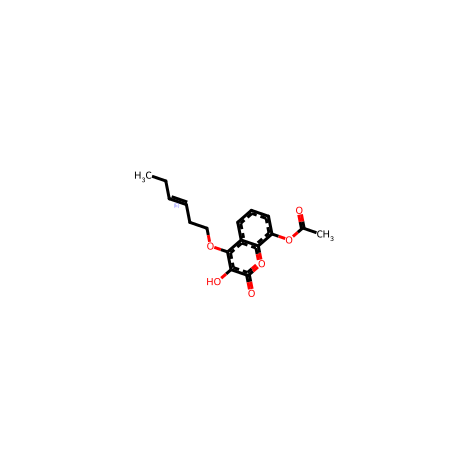 CC/C=C/CCOc1c(O)c(=O)oc2c(OC(C)=O)cccc12